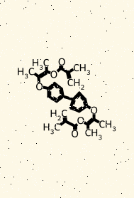 C=C(C)C(=O)OC(C)=C(C)Oc1ccc(-c2ccc(OC(C)=C(C)OC(=O)C(=C)C)cc2)cc1